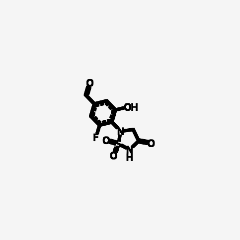 O=Cc1cc(O)c(N2CC(=O)NS2(=O)=O)c(F)c1